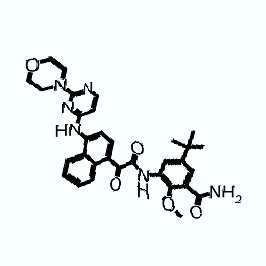 COc1c(NC(=O)C(=O)c2ccc(Nc3ccnc(N4CCOCC4)n3)c3ccccc23)cc(C(C)(C)C)cc1C(N)=O